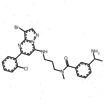 CC(N)c1cccc(C(=O)N(C)CCCNc2cc(-c3ccccc3Cl)nc3c(Br)cnn23)c1